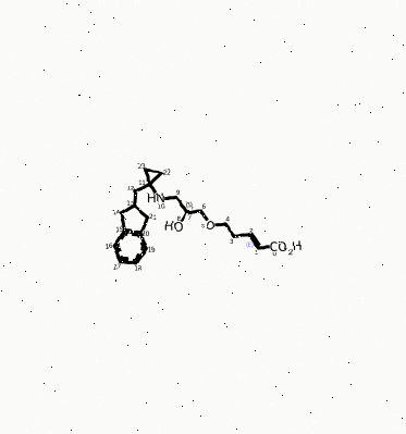 O=C(O)/C=C/CCOC[C@@H](O)CNC1(CC2Cc3ccccc3C2)CC1